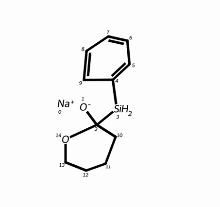 [Na+].[O-]C1([SiH2]c2ccccc2)CCCCO1